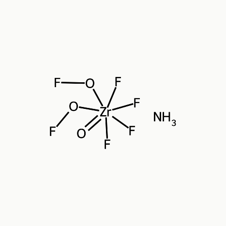 N.[O]=[Zr]([F])([F])([F])([F])([O]F)[O]F